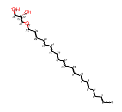 CCCCCCCCCCCCCCCCCCCCCCOC[C@@H](O)CO